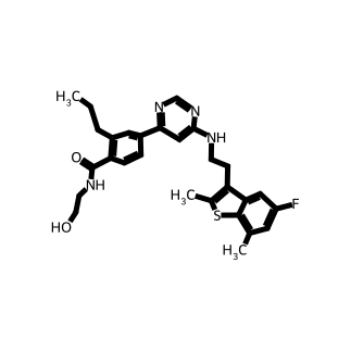 CCCc1cc(-c2cc(NCCc3c(C)sc4c(C)cc(F)cc34)ncn2)ccc1C(=O)NCCO